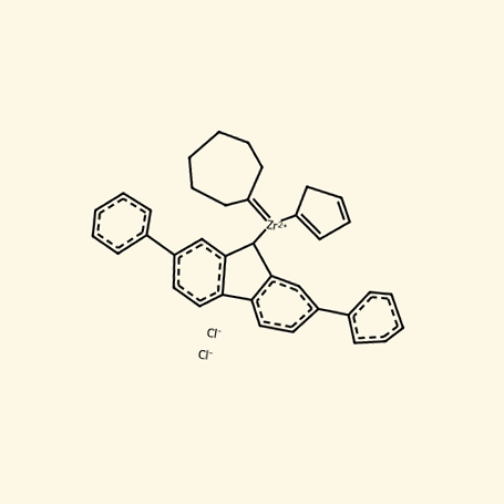 C1=CC[C]([Zr+2](=[C]2CCCCCC2)[CH]2c3cc(-c4ccccc4)ccc3-c3ccc(-c4ccccc4)cc32)=C1.[Cl-].[Cl-]